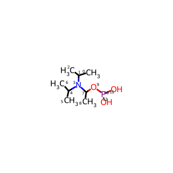 CC(C)N(C(C)C)C(C)OP(O)O